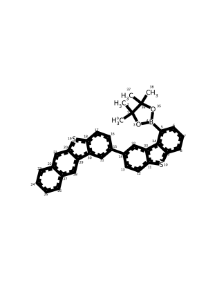 CC1(C)OB(c2cccc3sc4ccc(-c5ccc6sc7cc8ccccc8cc7c6c5)cc4c23)OC1(C)C